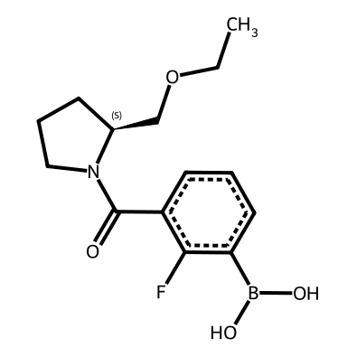 CCOC[C@@H]1CCCN1C(=O)c1cccc(B(O)O)c1F